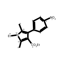 CCOC(=O)c1c(-c2ccc([N+](=O)[O-])cc2)c(C)n(CC)c1C